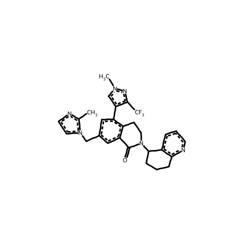 Cc1nccn1Cc1cc2c(c(-c3cn(C)nc3C(F)(F)F)c1)CCN(C1CCCc3ncccc31)C2=O